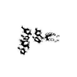 Cc1cnc(C)c([C@@H]2CCCN2C)c1.Cc1cnc(C)c([C@@H]2CCCN2C)c1.Cc1cnc(C)c([C@@H]2CCCN2C)c1.O=C(O)CC(O)(CC(=O)O)C(=O)O